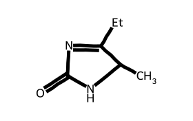 CCC1=NC(=O)NC1C